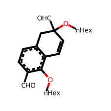 CCCCCCOc1c(C=O)ccc2c1C=CC(C=O)(OCCCCCC)C2